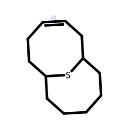 C1=C\CC2CCCCCC(CC/1)S2